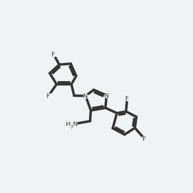 NCc1c(-c2ccc(F)cc2F)ncn1Cc1ccc(F)cc1F